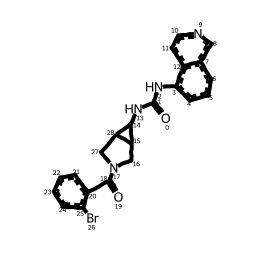 O=C(Nc1cccc2cnccc12)NC1C2CN(C(=O)c3ccccc3Br)CC21